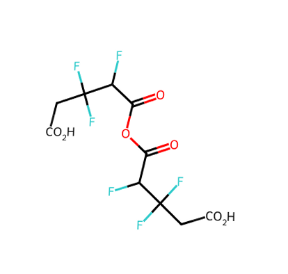 O=C(O)CC(F)(F)C(F)C(=O)OC(=O)C(F)C(F)(F)CC(=O)O